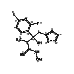 CC(=O)ONC(=N)C(C)C(O)(Cn1cncn1)c1ccc(F)cc1F